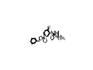 CC(C)(C)OC(=O)NC1CN(C(=O)OCc2ccccc2)CC[C@@H]1F